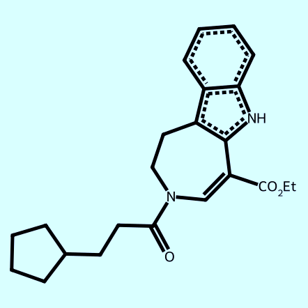 CCOC(=O)C1=CN(C(=O)CCC2CCCC2)CCc2c1[nH]c1ccccc21